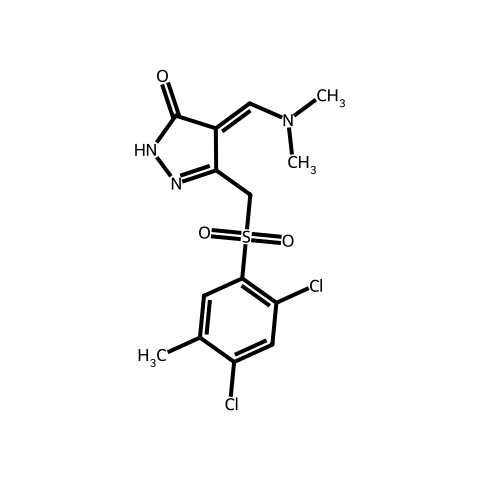 Cc1cc(S(=O)(=O)CC2=NNC(=O)C2=CN(C)C)c(Cl)cc1Cl